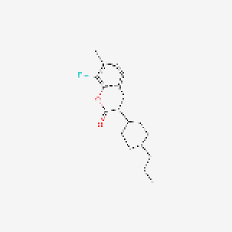 CCCC1CCC(C2Cc3ccc(C)c(F)c3OC2=O)CC1